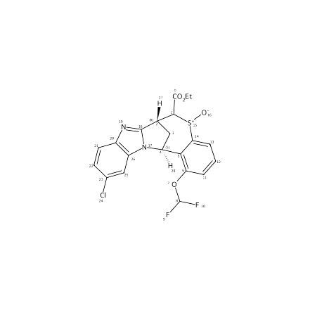 CCOC(=O)C1[C@@H]2C[C@@H](c3c(OC(F)F)cccc3[S+]1[O-])n1c2nc2ccc(Cl)cc21